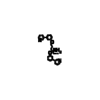 [CH2]CC(N)(CCCOc1cccc(-c2cccnc2)c1)Oc1cccc(-c2cccnc2)c1